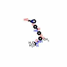 CCC(CC)NC(=O)Nc1ccc(Oc2ccc(NC(=O)c3ccc(OC45CCCC(CC4)N5CCCO)cc3)cc2)c(OC)c1